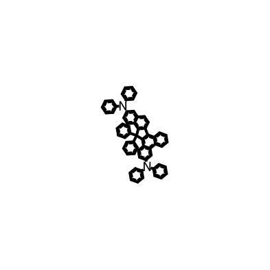 c1ccc(N(c2ccccc2)c2ccc3c4c(ccc3c2)-c2c(c3ccc(N(c5ccccc5)c5ccccc5)cc3c3ccccc23)C4(c2ccccc2)c2ccccc2)cc1